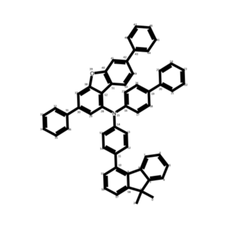 CC1(C)c2ccccc2-c2c(-c3ccc(N(c4ccc(-c5ccccc5)cc4)c4cc(-c5ccccc5)cc5oc6cc(-c7ccccc7)ccc6c45)cc3)cccc21